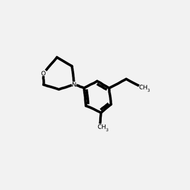 CCc1cc(C)cc(N2CCOCC2)c1